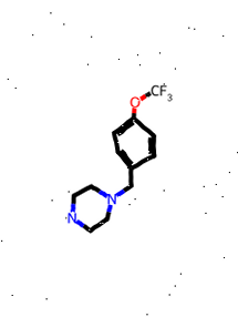 FC(F)(F)Oc1ccc(CN2CC[N]CC2)cc1